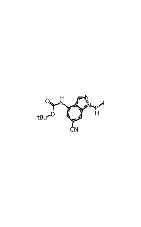 CC(C)(C)OC(=O)Nc1cc(C#N)cc2c1cnn2PI